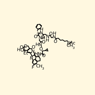 CC[C@@]1(O)C(=O)OCc2c1cc1n(c2=O)Cc2c-1nc1cc(F)c(C)c3c1c2[C@@H](NC(=O)C(OCNC(=O)CNC(=O)[C@H](Cc1ccccc1)NC(=O)CNC(=O)CNC(=O)CCCCCN(C)C(C)=O)C1CC1)CC3